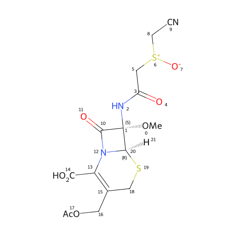 CO[C@@]1(NC(=O)C[S+]([O-])CC#N)C(=O)N2C(C(=O)O)=C(COC(C)=O)CS[C@@H]21